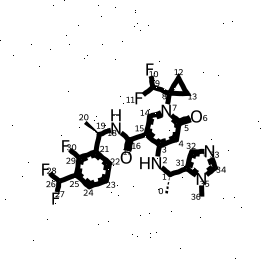 C[C@H](Nc1cc(=O)n(C2(C(F)F)CC2)cc1C(=O)N[C@H](C)c1cccc(C(F)F)c1F)c1cncn1C